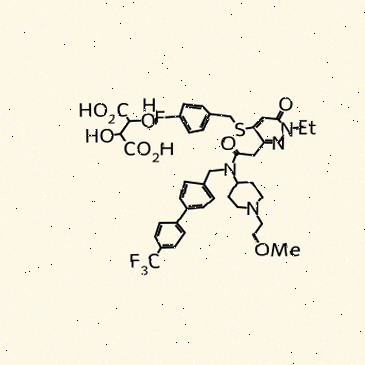 CCn1nc(CC(=O)N(Cc2ccc(-c3ccc(C(F)(F)F)cc3)cc2)C2CCN(CCOC)CC2)c(SCc2ccc(F)cc2)cc1=O.O=C(O)C(O)C(O)C(=O)O